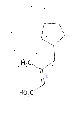 C/C(=C\C(=O)O)CC1CCCC1